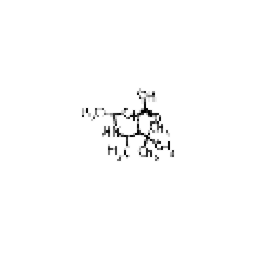 C[C@@H]1CN(C(=O)O)C(C(C)(C)C)[C@@H](C)N1